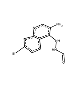 Nc1cnc2cc(Br)ccc2c1NNC=O